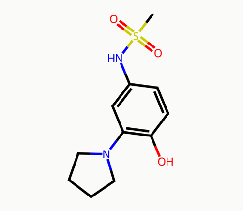 CS(=O)(=O)Nc1ccc(O)c(N2CCCC2)c1